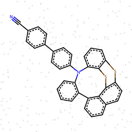 N#Cc1ccc(-c2ccc(N3c4ccccc4-c4cccc5ccc6c(c45)Sc4c(cccc43)S6)cc2)cc1